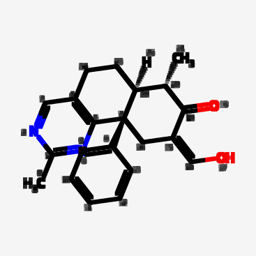 Cc1ncc2c(n1)[C@@]1(c3ccccc3)C/C(=C/O)C(=O)[C@@H](C)[C@@H]1CC2